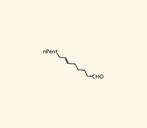 CCCCCC/C=C/CCCCC=O